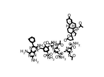 CC(=O)/N=c1\sc(S(N)(=O)=O)nn1C.CC(=O)Nc1nnc(S(N)(=O)=O)s1.CC(=O)S[C@@H]1CC2=CC(=O)CC[C@]2(C)[C@H]2CC[C@@]3(C)[C@@H](CC[C@@]34CCC(=O)O4)[C@H]12.NS(=O)(=O)c1cc(Cl)c(Cl)c(S(N)(=O)=O)c1.Nc1nc(N)c2nc(-c3ccccc3)c(N)nc2n1